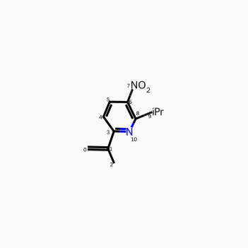 C=C(C)c1ccc([N+](=O)[O-])c(C(C)C)n1